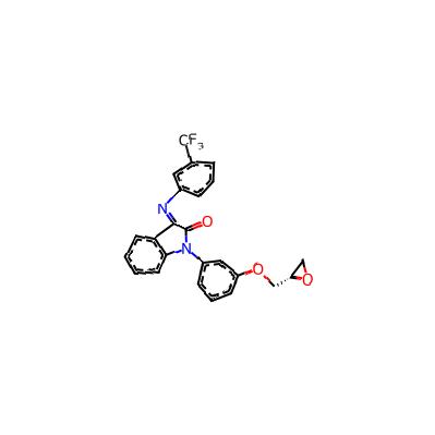 O=C1C(=Nc2cccc(C(F)(F)F)c2)c2ccccc2N1c1cccc(OC[C@@H]2CO2)c1